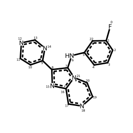 Fc1cccc(Nc2c(-c3ccncn3)nc3cnccn23)c1